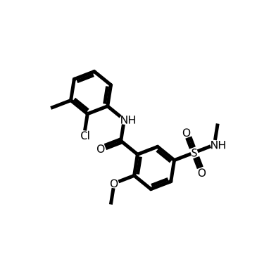 CNS(=O)(=O)c1ccc(OC)c(C(=O)Nc2cccc(C)c2Cl)c1